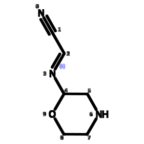 N#C/C=N/C1CNCCO1